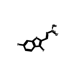 CC(C)(C)[S@+]([O-])N=Cc1sc2cc(F)ccc2c1F